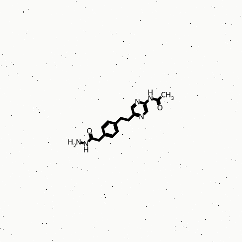 CC(=O)Nc1cnc(CCc2ccc(CC(=O)NN)cc2)cn1